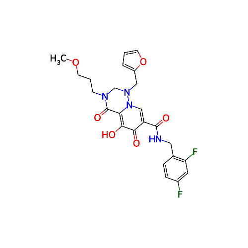 COCCCN1CN(Cc2ccco2)n2cc(C(=O)NCc3ccc(F)cc3F)c(=O)c(O)c2C1=O